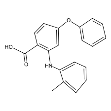 Cc1ccccc1Nc1cc(Oc2ccccc2)ccc1C(=O)O